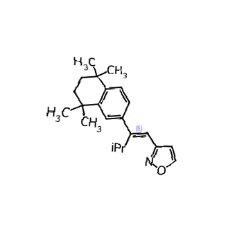 CC(C)/C(=C\c1ccon1)c1ccc2c(c1)C(C)(C)CCC2(C)C